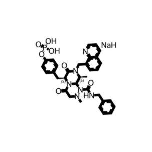 C[C@H]1C2N(C(=O)CN(C)N2C(=O)NCc2ccccc2)[C@@H](Cc2ccc(OP(=O)(O)O)cc2)C(=O)N1Cc1cccc2cccnc12.[NaH]